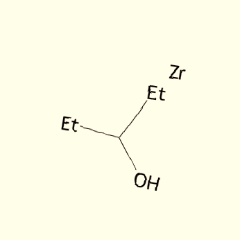 CCC(O)CC.[Zr]